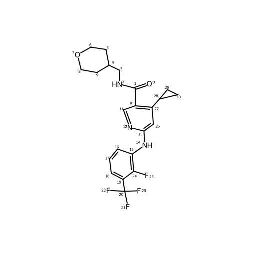 O=C(NCC1CCOCC1)c1cnc(Nc2cccc(C(F)(F)F)c2F)cc1C1CC1